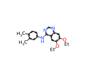 CCOc1cc2ncnc(Nc3ccc(C)c(C)c3)c2cc1OCC